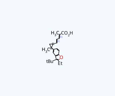 CCc1oc2ccc([C@@]3(C)C[C@H]3/C=C/C=C(\C)C(=O)O)cc2c1C(C)(C)C